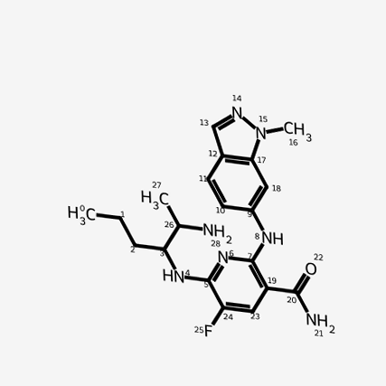 CCCC(Nc1nc(Nc2ccc3cnn(C)c3c2)c(C(N)=O)cc1F)C(C)N